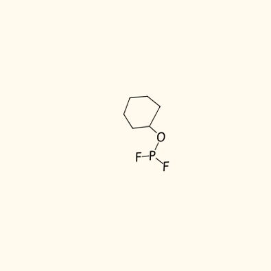 FP(F)OC1CCCCC1